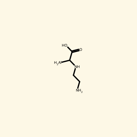 NCCN[CH]([AlH2])C(=O)O